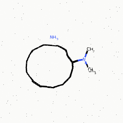 CN(C)C1CCCCCCCCCCC1.N